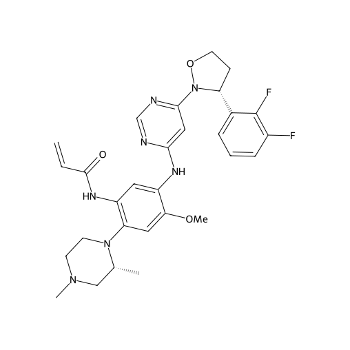 C=CC(=O)Nc1cc(Nc2cc(N3OCC[C@@H]3c3cccc(F)c3F)ncn2)c(OC)cc1N1CCN(C)C[C@H]1C